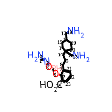 NC=NOBOc1c(CCCC2(CN)CCC(CN)CC2)cccc1C(=O)O